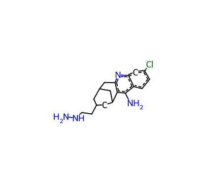 NNCCC1CC2Cc3nc4cc(Cl)ccc4c(N)c3C(C1)C2